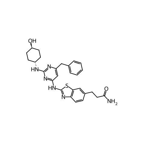 NC(=O)CCc1ccc2nc(Nc3cc(Cc4ccccc4)nc(N[C@H]4CC[C@H](O)CC4)n3)sc2c1